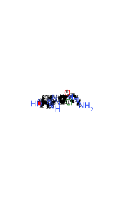 NCCN1CCN(C(=O)c2ccc(Nc3nccn4c(-c5c[nH]nc5C(F)(F)F)cnc34)cc2Cl)CC1